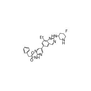 CCc1cc(-c2cnc(NS(=O)(=O)Cc3ccccc3)nc2)cc2cnc(N[C@@H]3CNC[C@@H](F)C3)nc12